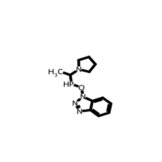 CC(POn1nnc2ccccc21)N1CCCC1